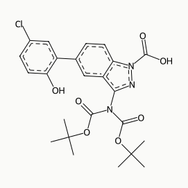 CC(C)(C)OC(=O)N(C(=O)OC(C)(C)C)c1nn(C(=O)O)c2ccc(-c3cc(Cl)ccc3O)cc12